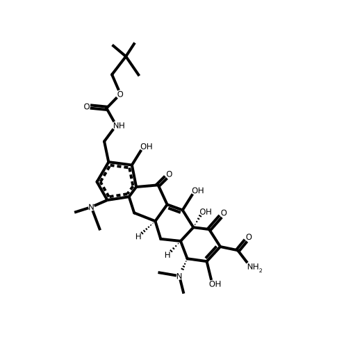 CN(C)c1cc(CNC(=O)OCC(C)(C)C)c(O)c2c1C[C@@H]1C[C@@H]3[C@@H](N(C)C)C(O)=C(C(N)=O)C(=O)[C@]3(O)C(O)=C1C2=O